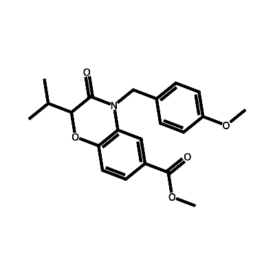 COC(=O)c1ccc2c(c1)N(Cc1ccc(OC)cc1)C(=O)C(C(C)C)O2